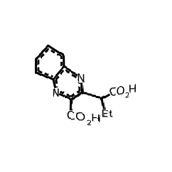 CCC(C(=O)O)c1nc2ccccc2nc1C(=O)O